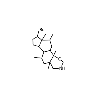 CCC(C)C1CCC2C3C(C)CC4(C)CNCCC4(C)C3CC(C)C12C